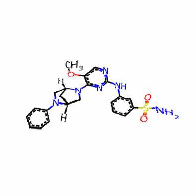 COc1cnc(Nc2cccc(S(N)(=O)=O)c2)nc1N1C[C@H]2C[C@@H]1CN2c1ccccc1